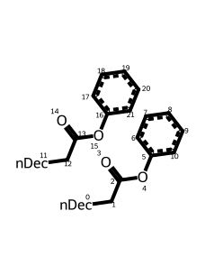 CCCCCCCCCCCC(=O)Oc1ccccc1.CCCCCCCCCCCC(=O)Oc1ccccc1